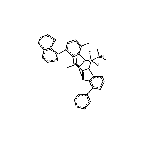 CC1=Cc2c(-c3cccc4ccccc34)ccc(C)c2[CH]1[Zr]([Cl])([Cl])([CH]1C(C(C)C)=Cc2c(-c3ccccc3)cccc21)[SiH](C)C